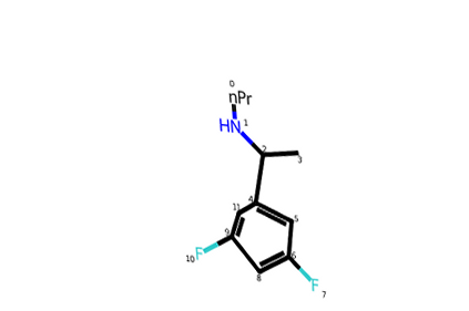 CCCNC(C)c1cc(F)cc(F)c1